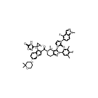 Cc1cc(-n2nc3c(c2-n2ccn(-c4ccc5c(cnn5C)c4F)c2=O)[C@H](C)N(C(=O)c2cn4cc([C@@H]5CCOC(C)(C)C5)ccc4c2[C@@]2(c4noc(=O)[nH]4)C[C@@H]2C)CC3)cc(C)c1F